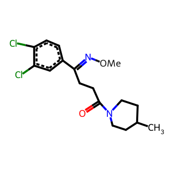 CON=C(CCC(=O)N1CCC(C)CC1)c1ccc(Cl)c(Cl)c1